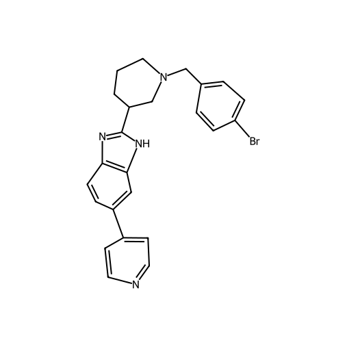 Brc1ccc(CN2CCCC(c3nc4ccc(-c5ccncc5)cc4[nH]3)C2)cc1